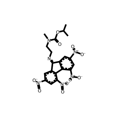 CC(C)OC(=O)N(C)CCN=C1c2cc([N+](=O)[O-])cc([N+](=O)[O-])c2-c2c1cc([N+](=O)[O-])cc2[N+](=O)[O-]